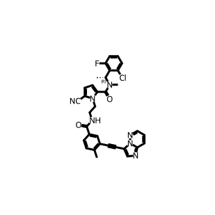 Cc1ccc(C(=O)NCCn2c(C#N)ccc2C(=O)N(C)[C@H](C)c2c(F)cccc2Cl)cc1C#Cc1cnc2cccnn12